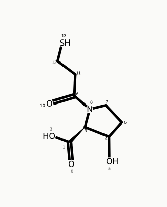 O=C(O)[C@@H]1C(O)CCN1C(=O)CCS